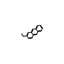 C[CH]c1ccc2cc3ccccc3cc2c1